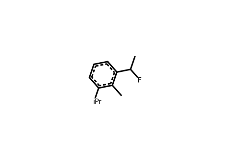 Cc1c(C(C)C)cccc1C(C)F